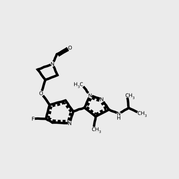 Cc1c(NC(C)C)nn(C)c1-c1cc(OC2CN(C=O)C2)c(F)cn1